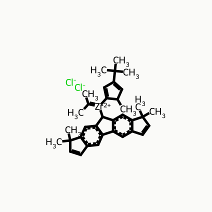 C[C](C)=[Zr+2]([C]1=CC(C(C)(C)C)=CC1C)[CH]1c2cc3c(cc2-c2cc4c(cc21)C(C)(C)C=C4)C=CC3(C)C.[Cl-].[Cl-]